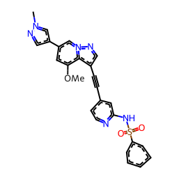 COc1cc(-c2cnn(C)c2)cn2ncc(C#Cc3ccnc(NS(=O)(=O)c4ccccc4)c3)c12